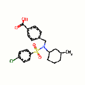 CC1CCCC(N(Cc2ccc(C(=O)O)cc2)S(=O)(=O)c2ccc(Cl)cc2)C1